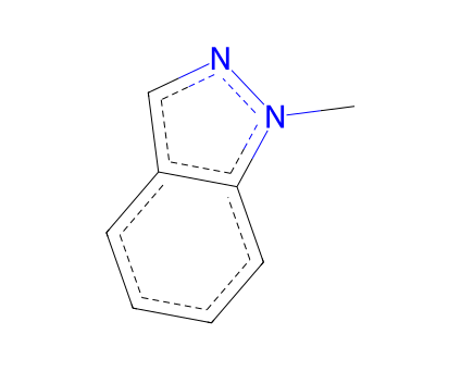 Cn1ncc2ccccc21